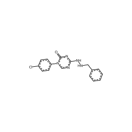 O=c1nc(NNCc2ccccc2)ncn1-c1ccc(Cl)cc1